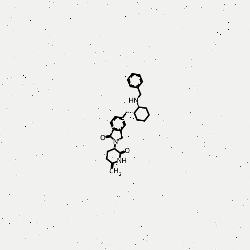 C=C1CCC(N2Cc3cc(C[C@H]4CCCC[C@@H]4NCc4ccccc4)ccc3C2=O)C(=O)N1